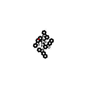 c1ccc(-n2c3ccccc3c3cccc(C4=NC(c5cccc6c5sc5ccccc56)NC(c5cc(-n6c7ccccc7c7cc8ccccc8cc76)cc6oc7cc8ccccc8cc7c56)=N4)c32)cc1